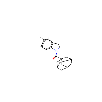 Cc1ccc2c(c1)CCN2C(=O)C12CC3CC(CC(C3)C1)C2